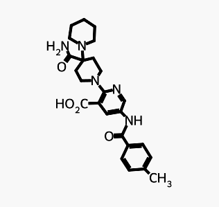 Cc1ccc(C(=O)Nc2cnc(N3CCC(C(N)=O)(N4CCCCC4)CC3)c(C(=O)O)c2)cc1